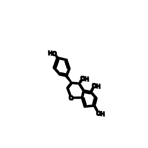 Oc1ccc([C@@H]2COc3cc(O)cc(O)c3[C@@H]2O)cc1